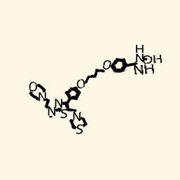 CN(CCN1CCOCC1)c1nc(-c2ccc(OCCCCCOc3ccc(C(=N)NO)cc3)cc2)c(CN2CCSCC2)s1